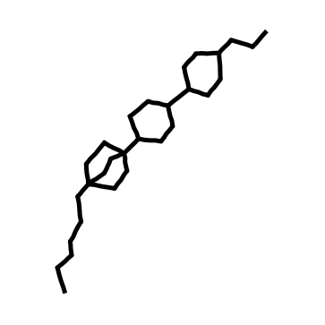 CCCCCCC12CCC(C3CCC(C4CCC(CCC)CC4)CC3)(CC1)CC2